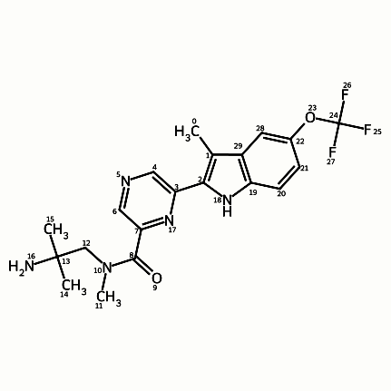 Cc1c(-c2cncc(C(=O)N(C)CC(C)(C)N)n2)[nH]c2ccc(OC(F)(F)F)cc12